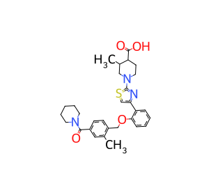 Cc1cc(C(=O)N2CCCCC2)ccc1COc1ccccc1-c1csc(N2CCC(C(=O)O)C(C)C2)n1